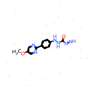 COc1cnc(-c2ccc(NNC(=O)N=N)cc2)nc1